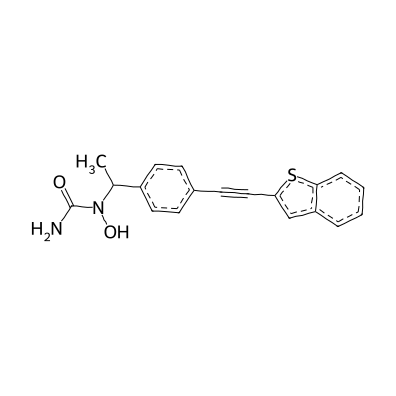 CC(c1ccc(C#Cc2cc3ccccc3s2)cc1)N(O)C(N)=O